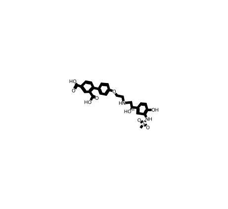 CS(=O)(=O)Nc1cc([C@@H](O)CNCCOc2ccc(-c3ccc(C(=O)O)cc3C(=O)O)cc2)ccc1O